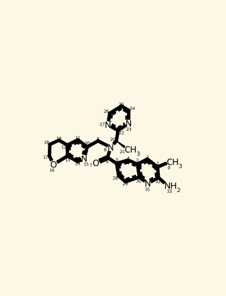 Cc1cc2cc(C(=O)N(Cc3cc4c(cn3)OCCC4)[C@H](C)c3ncccn3)ccc2nc1N